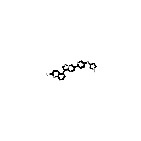 Bc1ccc2c(-c3cnn4cc(-c5ccc(OC6CCNC6)cn5)cnc34)cccc2n1